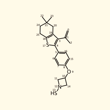 C=C(C)c1c(-c2ccc(OC3CN(S)C3)cc2)sc2c1CC(C)(C)CC2